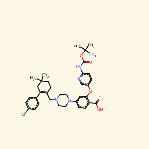 CC1(C)CCC(CN2CCN(c3ccc(C(=O)O)c(Oc4ccc(NC(=O)OC(C)(C)C)nc4)c3)CC2)=C(c2ccc(Cl)cc2)C1